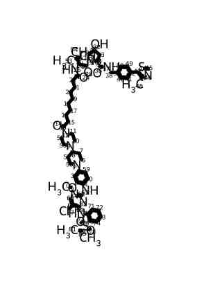 COc1cc(N2CCC(N3CCN(C(=O)CCCCCCCCC(=O)N[C@H](C(=O)N4C[C@H](O)C[C@H]4C(=O)NCc4ccc(-c5scnc5C)cc4)C(C)(C)C)CC3)CC2)ccc1Nc1ncc(Cl)c(Nc2ccccc2S(=O)(=O)C(C)C)n1